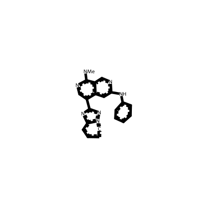 CNc1ncc(-c2nc3ccccn3n2)c2cc(Nc3ccccc3)ncc12